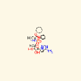 C[C@H](NP(=O)(OC[C@@]1(C#N)O[C@@H](c2ccc3c(N)ncnn23)[C@H](O)[C@@H]1O)Oc1ccccc1)C(=O)OC1CCCCCCC1